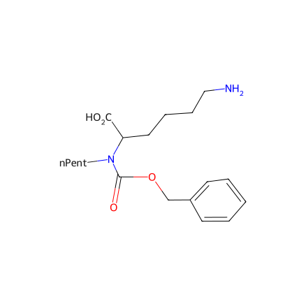 CCCCCN(C(=O)OCc1ccccc1)C(CCCCN)C(=O)O